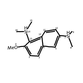 COc1ccc2cc([SiH](C)C)ccc2c1[SiH](C)C